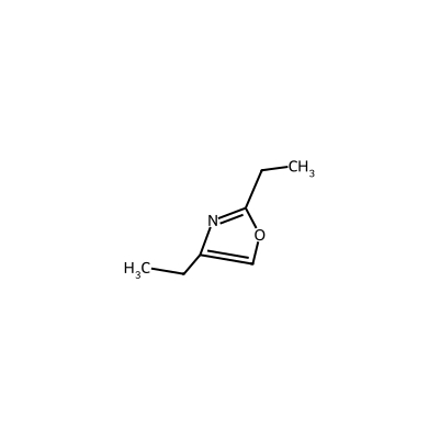 CCc1coc(CC)n1